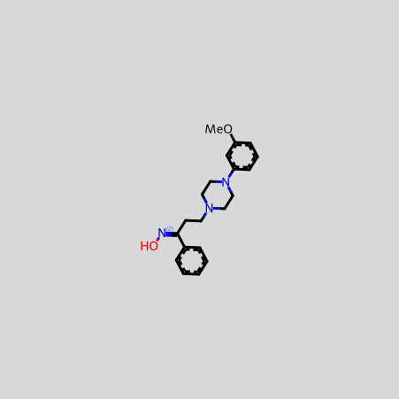 COc1cccc(N2CCN(CC/C(=N/O)c3ccccc3)CC2)c1